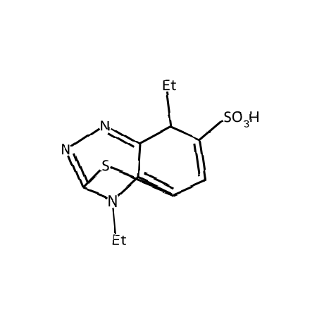 CCC1C(S(=O)(=O)O)=CC2=C3C1=NN=C(S2)N3CC